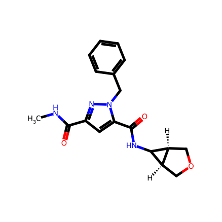 CNC(=O)c1cc(C(=O)NC2[C@H]3COC[C@@H]23)n(Cc2ccccc2)n1